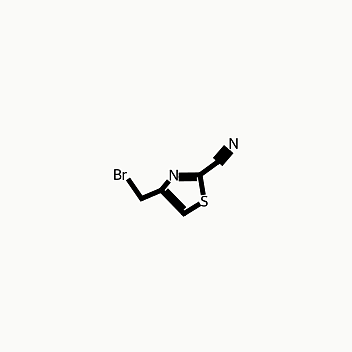 N#Cc1nc(CBr)cs1